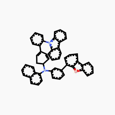 C1=CC(N(c2cccc(-c3cccc4c3oc3ccccc34)c2)c2cccc3ccccc23)CC=C1c1ccccc1-n1c2ccccc2c2ccccc21